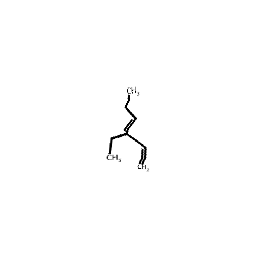 C=C/C(=C/CC)CC